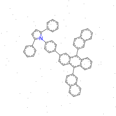 c1ccc(-c2ccc(-c3ccccc3)n2-c2ccc(-c3ccc4c(-c5ccc6ccccc6c5)c5ccccc5c(-c5ccc6ccccc6c5)c4c3)cc2)cc1